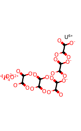 O=C([O-])C(=O)[O-].O=C([O-])C(=O)[O-].O=C([O-])C(=O)[O-].O=C([O-])C(=O)[O-].O=C([O-])C(=O)[O-].[OH4+2].[OH4+2].[U+6]